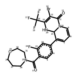 O=C(c1ccc(C2=CC=CN3C(=O)C(Br)=C(C(F)(F)F)NC23)cc1F)N1CCCOCC1